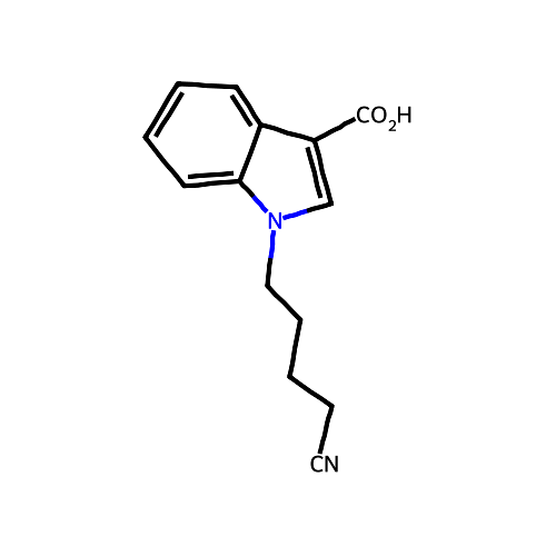 N#CCCCCn1cc(C(=O)O)c2ccccc21